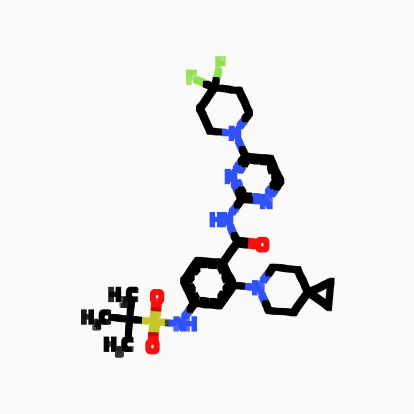 CC(C)(C)S(=O)(=O)Nc1ccc(C(=O)Nc2nccc(N3CCC(F)(F)CC3)n2)c(N2CCC3(CC2)CC3)c1